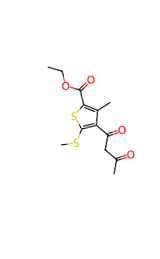 CCOC(=O)c1sc(SC)c(C(=O)CC(C)=O)c1C